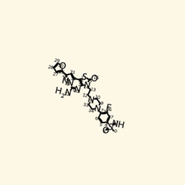 CS(=N)(=O)c1ccc(N2CCN(CCn3c(=O)sc4c3nc(N)n3nc(-c5ccco5)cc43)CC2)c(F)c1